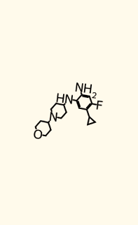 Nc1cc(F)c(C2CC2)cc1NC1CCN(C2CCOCC2)CC1